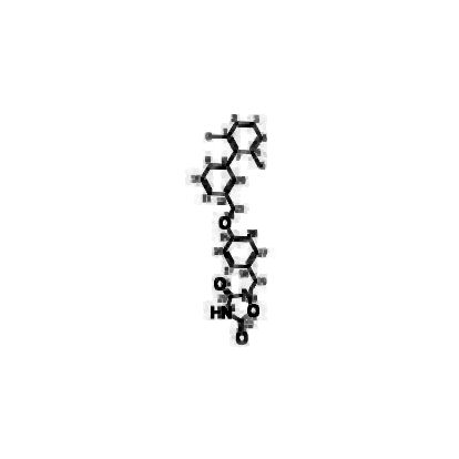 Cc1cccc(C)c1-c1cccc(COc2ccc(Cn3oc(=O)[nH]c3=O)cc2)c1